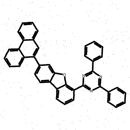 c1ccc(-c2nc(-c3ccccc3)nc(-c3cccc4c3oc3cc(-c5cc6ccccc6c6ccccc56)ccc34)n2)cc1